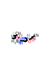 C[C@@H](OC(=O)Nc1c(-c2ccc(NC(=O)c3cc(C#N)no3)cn2)nnn1C)c1cc(F)cnc1F